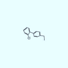 Clc1ccccc1-c1ccc(CI)cc1